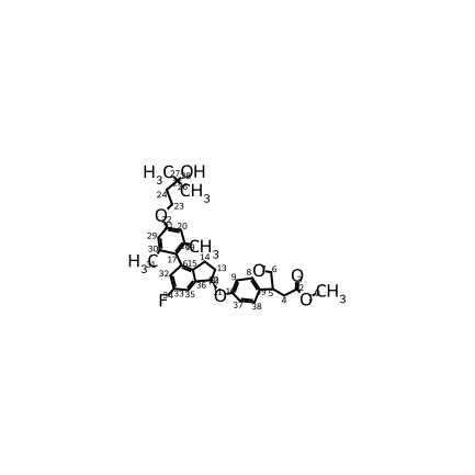 COC(=O)CC1COc2cc(O[C@@H]3CCc4c(-c5c(C)cc(OCCC(C)(C)O)cc5C)cc(F)cc43)ccc21